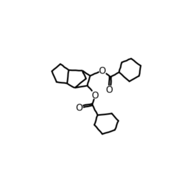 O=C(OC1C2CC(C3CCCC32)C1OC(=O)C1CCCCC1)C1CCCCC1